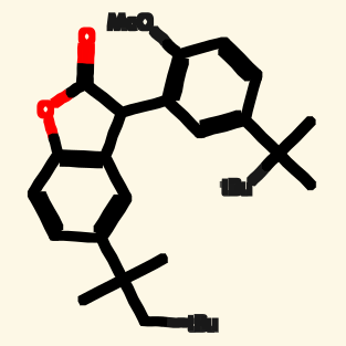 COc1ccc(C(C)(C)C(C)(C)C)cc1C1C(=O)Oc2ccc(C(C)(C)CC(C)(C)C)cc21